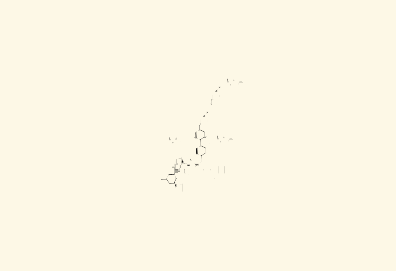 COCCOCCOCCOCc1cc(OC)c(-c2ccc(CC(NC(=O)[C@@H]3CCN3S(=O)(=O)c3cc(Cl)cc(Cl)c3)C(=O)O)cc2)c(OC)c1